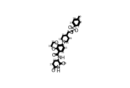 Cc1ccc(S(=O)(=O)OCC2CCN(c3ccc(C(=O)NC4CCC(=O)NC4=O)c4c3OCCO4)CC2)cc1